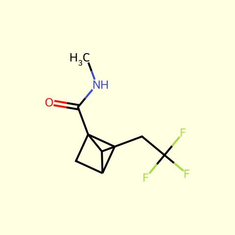 CNC(=O)C12CC(C1)C2CC(F)(F)F